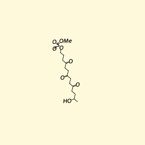 COS(=O)(=O)OCCCC(=O)CCC(=O)CCC(=O)CCC(C)O